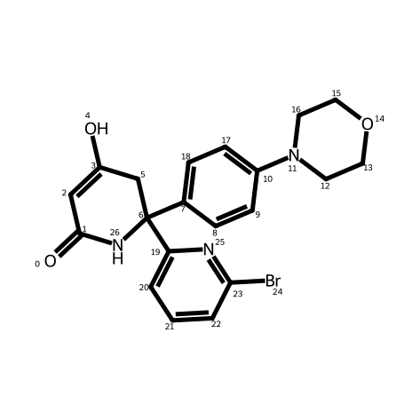 O=C1C=C(O)CC(c2ccc(N3CCOCC3)cc2)(c2cccc(Br)n2)N1